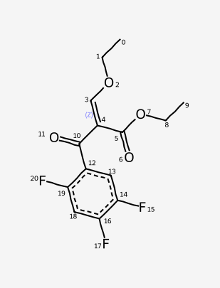 CCO/C=C(\C(=O)OCC)C(=O)c1cc(F)c(F)cc1F